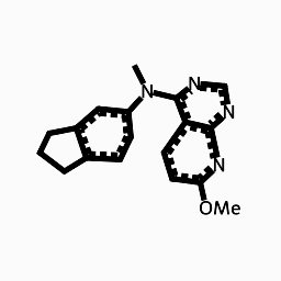 COc1ccc2c(N(C)c3ccc4c(c3)CCC4)ncnc2n1